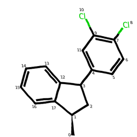 C[C@@H]1CC(c2ccc(Cl)c(Cl)c2)c2ccccc21